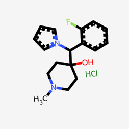 CN1CCC(O)(C(c2ccccc2F)n2cccc2)CC1.Cl